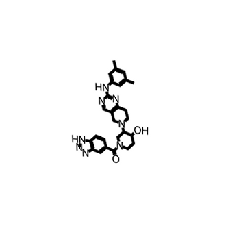 Cc1cc(C)cc(Nc2ncc3c(n2)CCN(C2CN(C(=O)c4ccc5[nH]nnc5c4)CCC2O)C3)c1